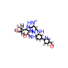 CNc1cc(Nc2cccc(-c3ccc(C=O)cn3)c2)nn2c(C(N)=O)c(C3[C@H]4COC[C@@H]34)nc12